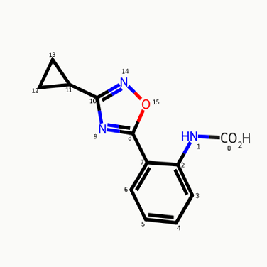 O=C(O)Nc1ccccc1-c1nc(C2CC2)no1